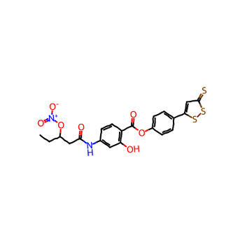 CCC(CC(=O)Nc1ccc(C(=O)Oc2ccc(-c3cc(=S)ss3)cc2)c(O)c1)O[N+](=O)[O-]